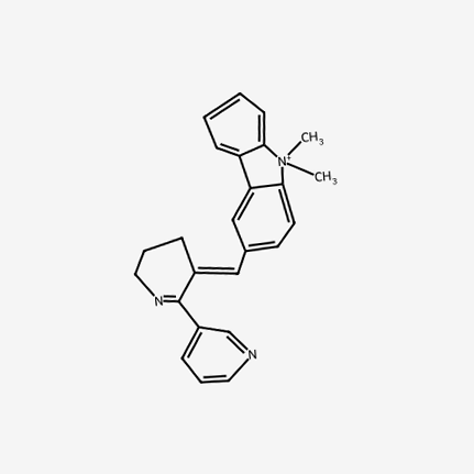 C[N+]1(C)c2ccccc2-c2cc(C=C3CCCN=C3c3cccnc3)ccc21